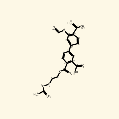 C=C(C)OOCCOC(=O)c1ccc(-c2ccc(C(=C)C)c(OC=O)c2)cc1C(=O)O